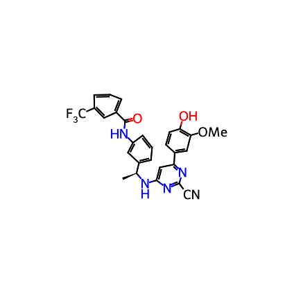 COc1cc(-c2cc(N[C@@H](C)c3cccc(NC(=O)c4cccc(C(F)(F)F)c4)c3)nc(C#N)n2)ccc1O